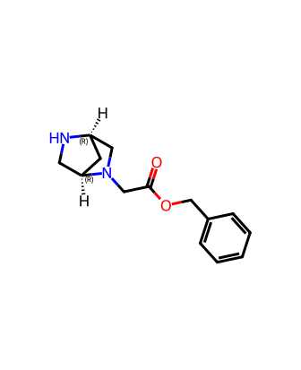 O=C(CN1C[C@H]2C[C@@H]1CN2)OCc1ccccc1